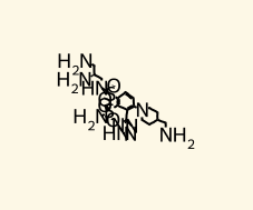 NCC1CCN(c2ccc(S(=O)(=O)NC[C@@H](N)CN)c(S(N)(=O)=O)c2-c2nn[nH]n2)CC1